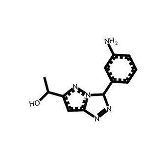 CC(O)c1cc2n(n1)C(c1cccc(N)c1)N=N2